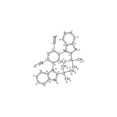 [C-]#[N+]c1cc(C#N)c(-n2c(C(C)(C)C)nc3ccccc32)cc1-n1c(C(C)(C)C)nc2ccccc21